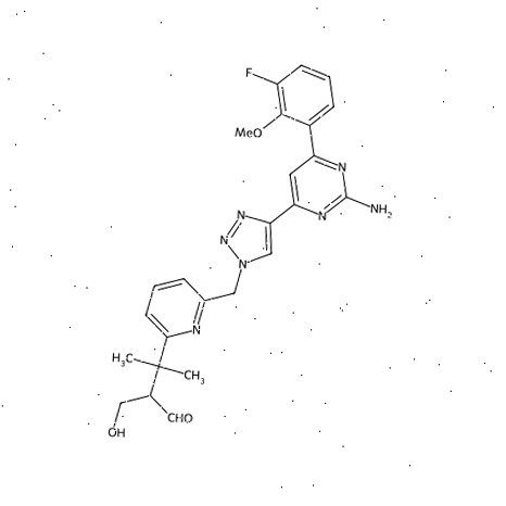 COc1c(F)cccc1-c1cc(-c2cn(Cc3cccc(C(C)(C)C(C=O)CO)n3)nn2)nc(N)n1